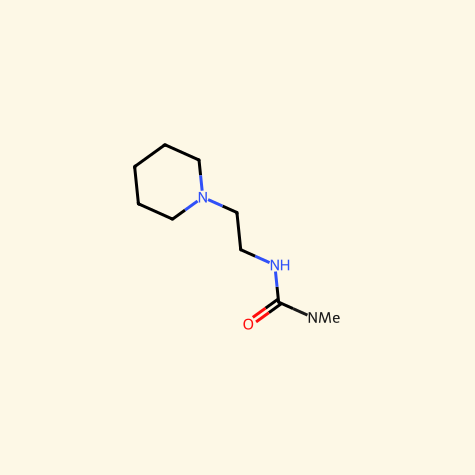 CNC(=O)NCCN1CCCCC1